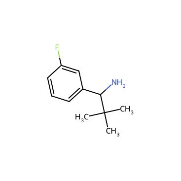 CC(C)(C)C(N)c1cccc(F)c1